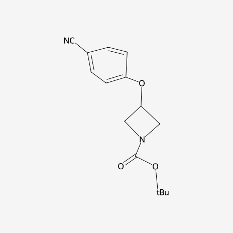 CC(C)(C)OC(=O)N1CC(Oc2ccc(C#N)cc2)C1